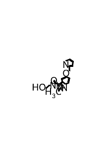 Cn1nc2ccc(OCc3ccccn3)cc2c1C(=O)NCCO